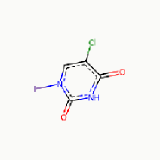 O=c1[nH]c(=O)n(I)cc1Cl